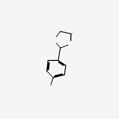 Clc1ccc(C2SCCS2)cc1